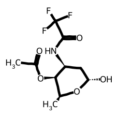 CC(=O)O[C@H]1[C@@H](NC(=O)C(F)(F)F)C[C@H](O)O[C@H]1C